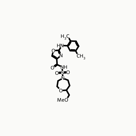 COCC1CCN(S(=O)(=O)NC(=O)c2coc(Nc3cc(C)ccc3C)n2)CCO1